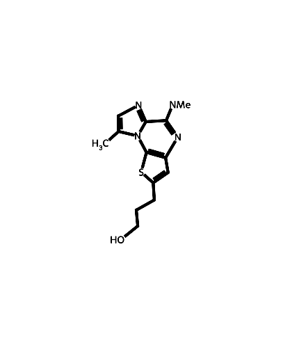 CNc1nc2cc(CCCO)sc2n2c(C)cnc12